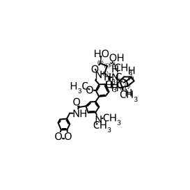 COc1c(CN2O[C@@H](CO)[C@H]([C@H](C)O)[C@H]2C(=O)N[C@H]2C[C@H]3C[C@@H]([C@@H]2C)C3(C)C)cccc1-c1cc(C(=O)NCc2ccc3c(c2)OCO3)cc(N(C)C)c1